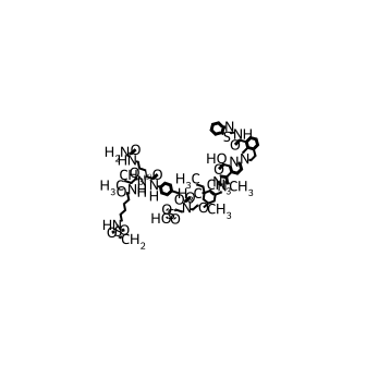 C=CS(=O)(=O)NCCCCCC(=O)NC(C(=O)N[C@@H](CCCNC(N)=O)C(=O)Nc1ccc(COC(=O)N(CCOC2(C)CC(Cn3ncc(-c4ccc(N5CCc6cccc(C(=O)Nc7nc8ccccc8s7)c6C5)nc4C(=O)O)c3C)=C(C)C(C)(CCC)C2)CCS(=O)(=O)O)cc1)C(C)C